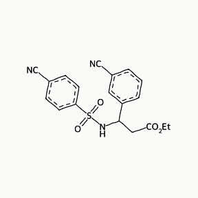 CCOC(=O)CC(NS(=O)(=O)c1ccc(C#N)cc1)c1cccc(C#N)c1